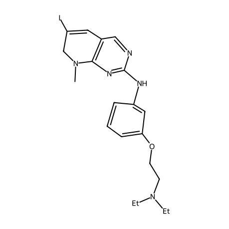 CCN(CC)CCOc1cccc(Nc2ncc3c(n2)N(C)CC(I)=C3)c1